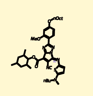 [C-]#[N+]C1=C(C(=O)OC2C(C)CC(C)CC2C)c2nc(-c3ccc(OCCCCCCCC)cc3OC)nn2/C1=N/c1ccc(N(C)CCCC)s1